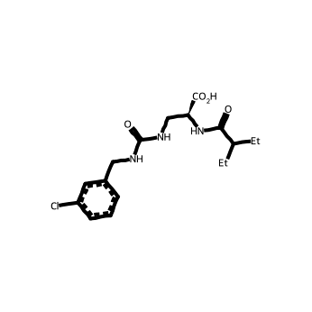 CCC(CC)C(=O)N[C@@H](CNC(=O)NCc1cccc(Cl)c1)C(=O)O